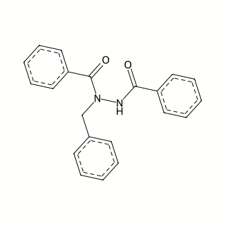 O=C(NN(Cc1ccccc1)C(=O)c1ccccc1)c1ccccc1